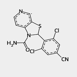 N#Cc1cc(Cl)c(C2Sc3[c]nccc3N2C(N)=O)c(Cl)c1